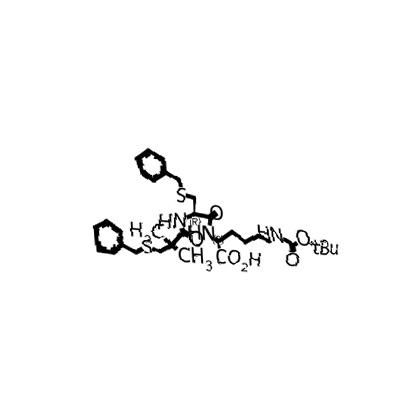 CC(C)(C)OC(=O)NCCCC[C@H](NC(=O)[C@H](CSCc1ccccc1)NC(=O)C(C)(C)CSCc1ccccc1)C(=O)O